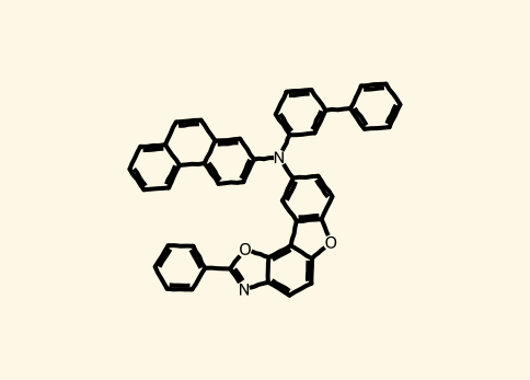 c1ccc(-c2cccc(N(c3ccc4c(ccc5ccccc54)c3)c3ccc4oc5ccc6nc(-c7ccccc7)oc6c5c4c3)c2)cc1